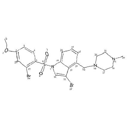 COc1ccc(S(=O)(=O)n2cc(Br)c3c(CN4CCN(C)CC4)cccc32)c(Br)c1